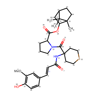 COc1cc(/C=C/C(=O)NC2(C(=O)N3CCCC3C(=O)OC3CC4CCC3(C)C4(C)C)CCSCC2)ccc1O